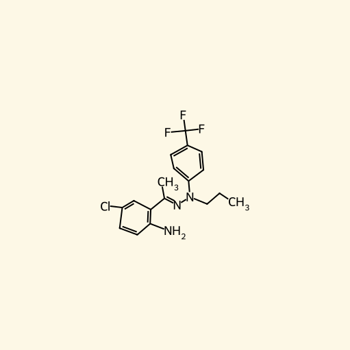 CCCN(/N=C(\C)c1cc(Cl)ccc1N)c1ccc(C(F)(F)F)cc1